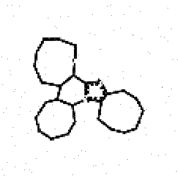 C1CCCc2nc3n(c2CCC1)C1CCCCCCC1C1CCCCCCCC31